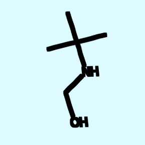 CC(C)(C)NCO